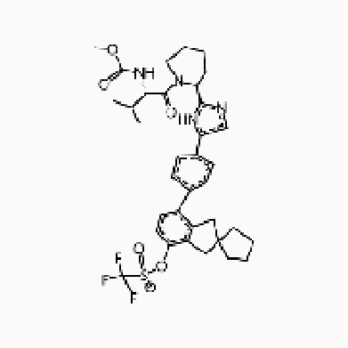 COC(=O)N[C@H](C(=O)N1CCCC[C@H]1c1ncc(-c2ccc(-c3ccc(OS(=O)(=O)C(F)(F)F)c4c3CC3(CCCC3)C4)cc2)[nH]1)C(C)C